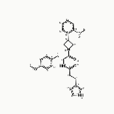 COc1ccc(C[C@@H](NC(=O)CCc2c[nH]cn2)C(=O)N2CC(c3ccccc3OC)C2)cc1